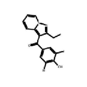 CCc1nn2ccccc2c1C(=O)c1cc(Br)c(O)c(I)c1